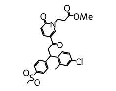 COC(=O)CCn1cc(C(=O)CC(c2ccc(S(C)(=O)=O)cc2)c2ccc(Cl)cc2C)ccc1=O